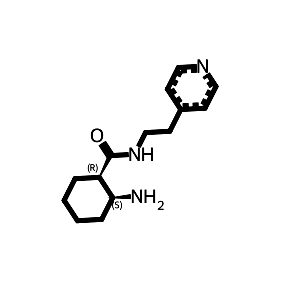 N[C@H]1CCCC[C@H]1C(=O)NCCc1ccncc1